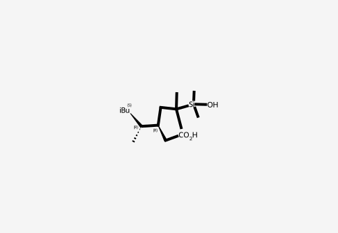 CC[C@H](C)[C@@H](C)[C@H](CC(=O)O)CC(C)(C)[Si](C)(C)O